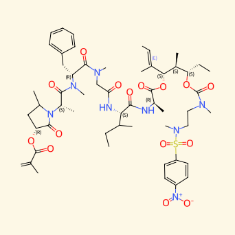 C=C(C)C(=O)O[C@@H]1CC(C)N([C@@H](C)C(=O)N(C)[C@H](Cc2ccccc2)C(=O)N(C)CC(=O)N[C@H](C(=O)N[C@H](C)C(=O)O[C@H](/C(C)=C/C)[C@@H](C)[C@H](CC)OC(=O)N(C)CCN(C)S(=O)(=O)c2ccc([N+](=O)[O-])cc2)C(C)CC)C1=O